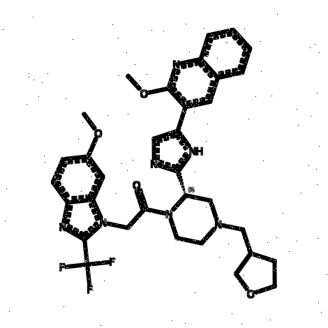 COc1ccc2nc(C(F)(F)F)n(CC(=O)N3CCN(CC4CCOC4)C[C@H]3c3ncc(-c4cc5ccccc5nc4OC)[nH]3)c2c1